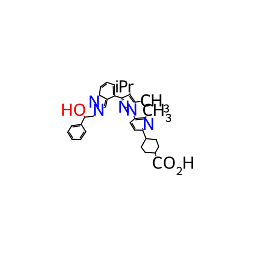 Cc1nc(C2CCC(C(=O)O)CC2)ccc1-n1nc(-c2cccc3nn(C[C@H](O)c4ccccc4)cc23)c(C(C)C)c1C